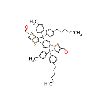 CCCCCCc1ccc(C2(c3ccc(C)cc3)c3cc4c(cc3-c3sc(C=O)cc32)C(c2ccc(C)cc2)(c2ccc(CCCCCC)cc2)c2c-4sc3cc(C=O)sc23)cc1